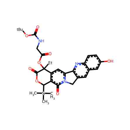 CCC1(OC(=O)CNC(=O)OC(C)(C)C)C(=O)OC([Si](C)(C)C)c2c1cc1n(c2=O)Cc2cc3cc(O)ccc3nc2-1